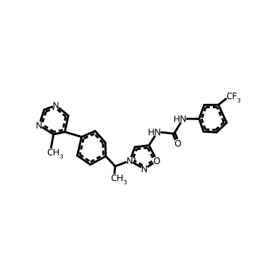 Cc1ncncc1-c1ccc(C(C)[n+]2cc(NC(=O)Nc3cccc(C(F)(F)F)c3)on2)cc1